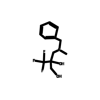 CN(Cc1ccccc1)CC(O)(CO)C(F)(F)F